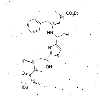 CCOC(=O)[C@@H](C)C[C@H](Cc1ccccc1)NC(O)c1csc([C@H](O)C[C@H](C(C)C)N(C)C(=O)[C@@H](N)[C@@H](C)CC)n1